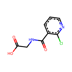 O=C(O)CNC(=O)c1cccnc1Cl